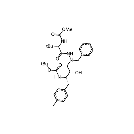 COC(=O)N[C@H](C(=O)NN(Cc1ccccc1)C[C@H](O)[C@H](Cc1ccc(C)cc1)NC(=O)OC(C)(C)C)C(C)(C)C